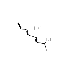 C=C/C=C/C=C/C(C)N.Cl